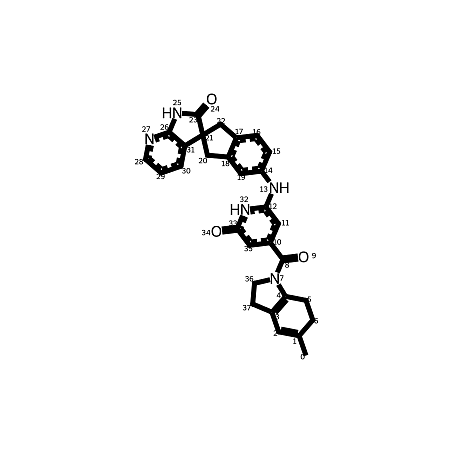 CC1=CC2=C(CC1)N(C(=O)c1cc(Nc3ccc4c(c3)CC3(C4)C(=O)Nc4ncccc43)[nH]c(=O)c1)CC2